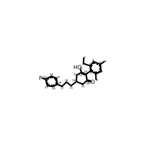 CCc1cc(C)cc(C)c1C1=C(O)CC(CCCc2ccc(F)cc2)CC1=O